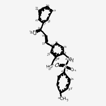 Cc1ccc(S(=O)(=O)Nc2ccc(C=CC(=O)c3ccccc3)cc2O)cc1